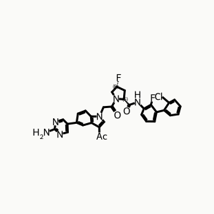 CC(=O)c1cn(CC(=O)N2C[C@H](F)C[C@H]2C(=O)Nc2cccc(-c3ccccc3Cl)c2F)c2ccc(-c3cnc(N)nc3)cc12